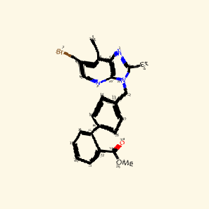 CCc1nc2c(C)c(Br)cnc2n1Cc1ccc(-c2ccccc2C(=O)OC)cc1